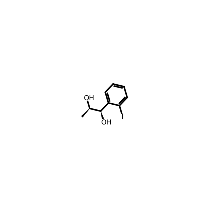 C[C@@H](O)[C@H](O)c1ccccc1I